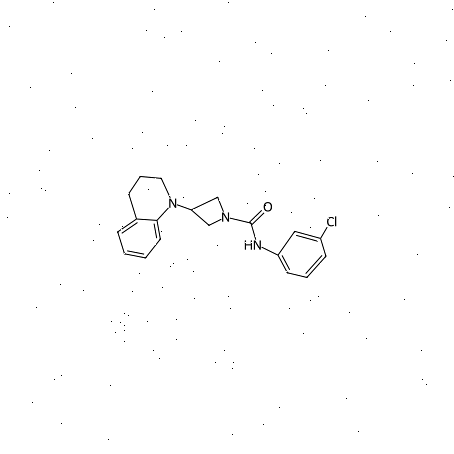 O=C(Nc1cccc(Cl)c1)N1CC(N2CCCc3ccccc32)C1